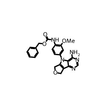 COc1cc(-n2c3c(c4ncnc(N)c42)COC3)ccc1NC(=O)OCc1ccccc1